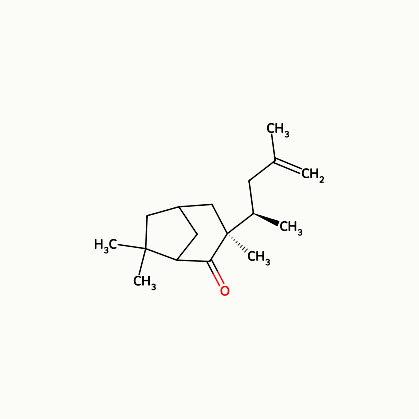 C=C(C)C[C@@H](C)[C@]1(C)CC2CC(C1=O)C(C)(C)C2